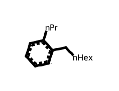 CCCCCCCc1[c]cccc1CCC